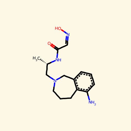 C[C@@H](CN1CCCc2c(N)cccc2C1)NC(=O)/C=N\O